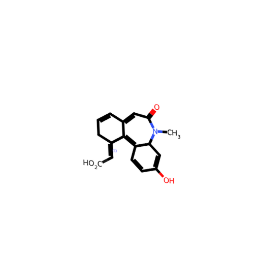 CN1C(=O)C=C2C=CC/C(=C\C(=O)O)C2=C2C=CC(O)=CC21